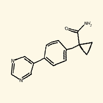 NC(=O)C1(c2ccc(-c3cncnc3)cc2)CC1